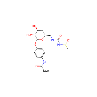 CNC(=O)Nc1ccc(OC2O[C@H](CNC(=O)N[S+](C)[O-])C[C@H](O)[C@@H]2O)cc1